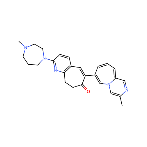 CC1=CN2C=C(C3=Cc4ccc(N5CCCN(C)CC5)nc4CCC3=O)C=CC=C2C=N1